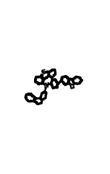 c1ccc2c(c1)ccc1ccc(N(c3ccc(-c4ccc5c(c4)oc4ccccc45)cc3)c3cccc4sc5ccccc5c34)cc12